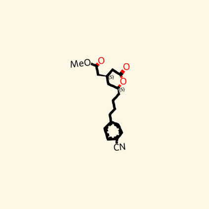 COC(=O)C[C@H]1CC(=O)O[C@@H](CCCCc2ccc(C#N)cc2)C1